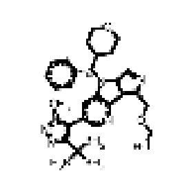 BC(B)(B)c1nnn(C)c1-c1cnc2c(c1)N([C@H](c1ccccc1)C1CCOCC1)C1C=NC(COCO)=C21